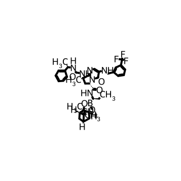 CC[C@H](NC(=O)[C@@H]1C[C@@](C)(NC(=O)N[C@@H](C)c2ccccc2)c2ncc(NCc3cccc(C(F)(F)F)c3)c(=O)n21)B1O[C@@H]2C[C@@H]3C[C@@H](C3(C)C)[C@]2(C)O1